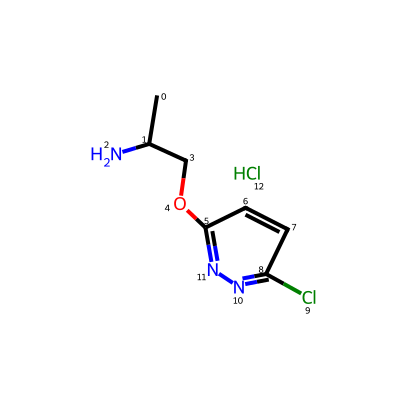 CC(N)COc1ccc(Cl)nn1.Cl